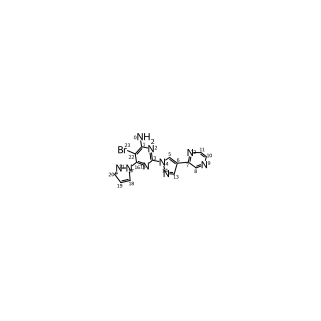 Nc1nc(-n2cc(-c3cnccn3)cn2)nc(-n2cccn2)c1Br